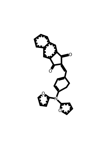 O=C1C(=CC2=CC=C(N(c3ccco3)c3ccco3)CC2)C(=O)c2cc3ccccc3cc21